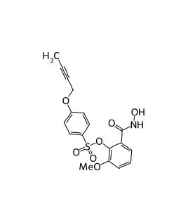 CC#CCOc1ccc(S(=O)(=O)Oc2c(OC)cccc2C(=O)NO)cc1